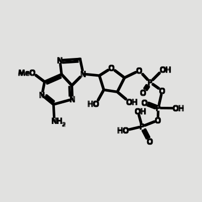 COc1nc(N)nc2c1ncn2C1OC(OP(=O)(O)OP(=O)(O)OP(=O)(O)O)C(O)C1O